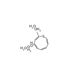 Cc1cccccccs1.O.O.O.O.O